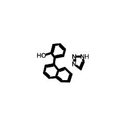 Oc1ccccc1-c1cccc2ccccc12.c1c[nH]nn1